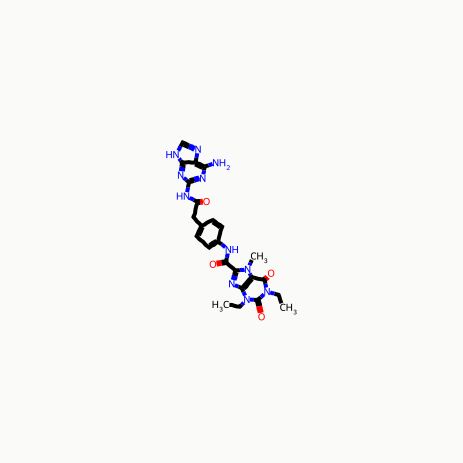 CCn1c(=O)c2c(nc(C(=O)Nc3ccc(CC(=O)Nc4nc(N)c5nc[nH]c5n4)cc3)n2C)n(CC)c1=O